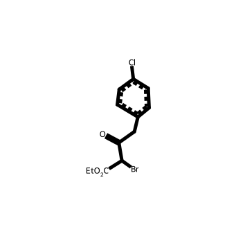 CCOC(=O)C(Br)C(=O)Cc1ccc(Cl)cc1